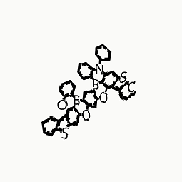 c1ccc(N2c3ccccc3B3c4cc5c(cc4Oc4c3c2cc2sc3ccccc3c42)Oc2cc3sc4ccccc4c3c3c2B5c2ccccc2O3)cc1